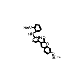 CCCCCCCCCCOc1ccc2cc(C3=CSC(Nc4ccccc4OC)N3)c(=O)oc2c1